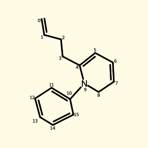 C=CCCC1=CC=CCN1c1ccccc1